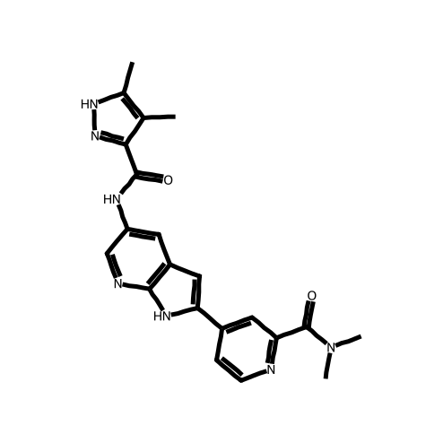 Cc1[nH]nc(C(=O)Nc2cnc3[nH]c(-c4ccnc(C(=O)N(C)C)c4)cc3c2)c1C